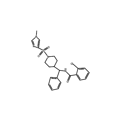 Cn1cnc(S(=O)(=O)N2CCC(C(NC(=O)c3ccccc3Cl)c3ccccc3)CC2)c1